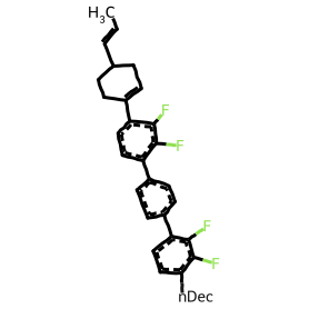 C/C=C/C1CC=C(c2ccc(-c3ccc(-c4ccc(CCCCCCCCCC)c(F)c4F)cc3)c(F)c2F)CC1